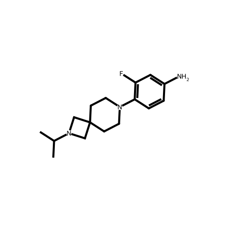 CC(C)N1CC2(CCN(c3ccc(N)cc3F)CC2)C1